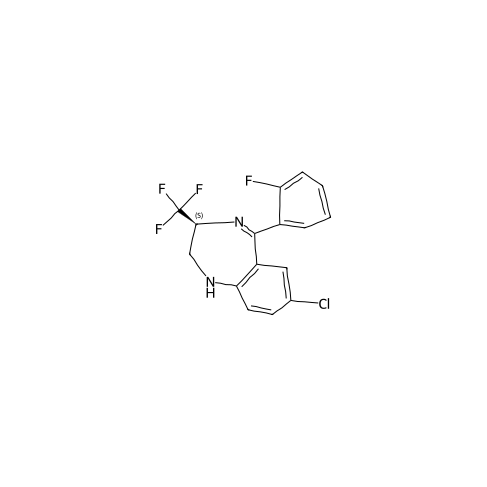 Fc1ccccc1C1=N[C@H](C(F)(F)F)CNc2ccc(Cl)cc21